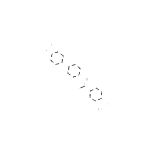 CCCC[Si](C)(C)c1ccc(C(=O)Nc2ccc(-c3ccc([Si](C)(C)CCCC)cc3)cc2)cc1